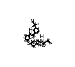 CC(C)(C#N)c1cccc(C(=O)Nc2cccc(Sc3ccc4nc(NC(=O)C5CC5)cn4n3)c2)c1